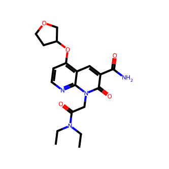 CCN(CC)C(=O)Cn1c(=O)c(C(N)=O)cc2c(OC3CCOC3)ccnc21